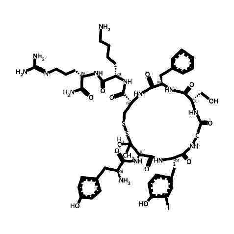 CC1(C)SSC[C@H](C(=O)N[C@@H](CCCCN)C(=O)N[C@@H](CCCN=C(N)N)C(N)=O)NC(=O)[C@@H](Cc2ccccc2)NC(=O)[C@H](CO)NC(=O)CNC(=O)[C@H](Cc2ccc(O)c(I)c2)NC(=O)[C@@H]1NC(=O)[C@@H](N)Cc1ccc(O)cc1